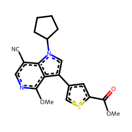 COC(=O)c1cc(-c2cn(C3CCCC3)c3c(C#N)cnc(OC)c23)cs1